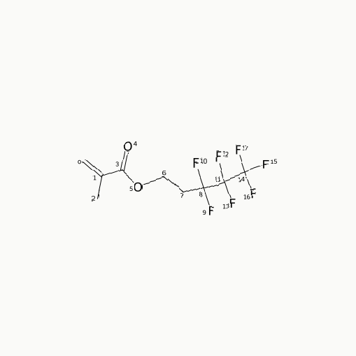 C=C(C)C(=O)OCCC(F)(F)C(F)(F)C(F)(F)F